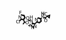 CC(OC(=O)Nc1c(-c2ccc(NC(=O)C3(C#N)CC3)cn2)nnn1C)c1ccc(F)nc1Cl